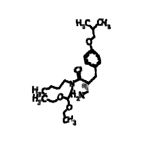 CCCCN(CC(OCC)OCC)C(=O)[C@@H](CN)Cc1ccc(OCC(C)C)cc1